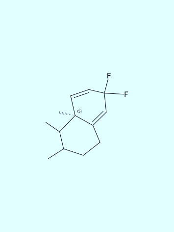 CC1CCC2=CC(F)(F)C=C[C@]2(C)C1C